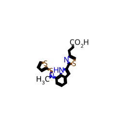 CN(Sc1cccs1)c1cccc2cc(-c3nc(CCC(=O)O)cs3)[nH]c12